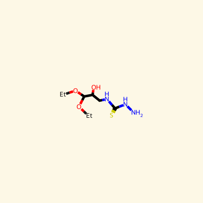 CCOC(OCC)C(O)CNC(=S)NN